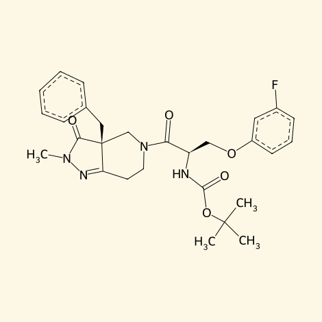 CN1N=C2CCN(C(=O)[C@@H](COc3cccc(F)c3)NC(=O)OC(C)(C)C)C[C@@]2(Cc2ccccc2)C1=O